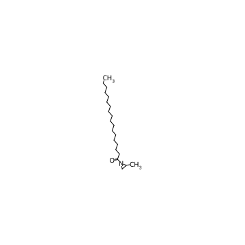 CCCCCCCCCCCCCCCCCC(=O)N1CC1C